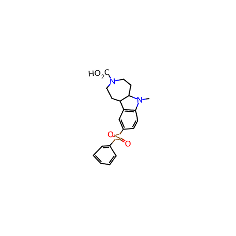 CN1c2ccc(S(=O)(=O)c3ccccc3)cc2C2CCN(C(=O)O)CCC21